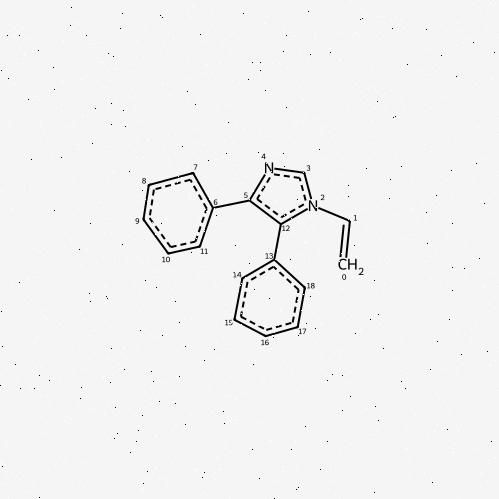 C=Cn1cnc(-c2ccccc2)c1-c1ccccc1